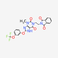 Cn1c(=O)n(CCN2C(=O)c3ccccc3C2=O)c(=O)c2[nH]c(Oc3cccc(OC(F)(F)F)c3)nc21